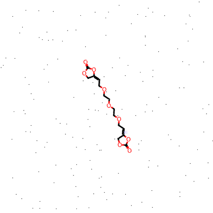 O=C1OCC(=CCOCCOCCOC/C=C2\COC(=O)O2)O1